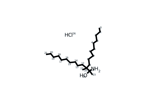 CCCCCCCCCCC(C)(CCCCCCCCCC)C(C)(N)O.Cl